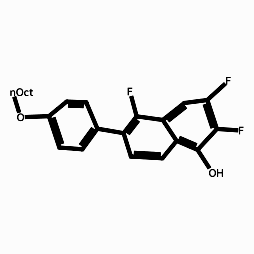 CCCCCCCCOc1ccc(-c2ccc3c(O)c(F)c(F)cc3c2F)cc1